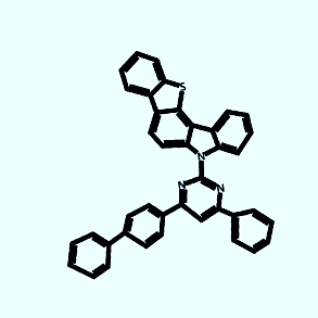 c1ccc(-c2ccc(-c3cc(-c4ccccc4)nc(-n4c5ccccc5c5c6sc7ccccc7c6ccc54)n3)cc2)cc1